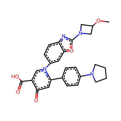 COC1CN(c2nc3ccc(-n4cc(C(=O)O)c(=O)cc4-c4ccc(N5CCCC5)cc4)cc3o2)C1